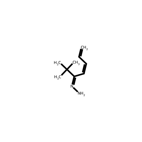 C=C/C=C\C(=N/N)C(C)(C)C